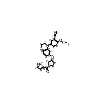 COc1ncc(N2CCOc3ccc(OC4CCN(C(=O)c5ccno5)C4)cc32)cc1C#N